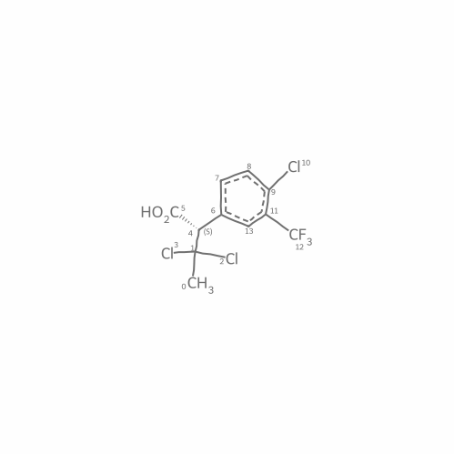 CC(Cl)(Cl)[C@H](C(=O)O)c1ccc(Cl)c(C(F)(F)F)c1